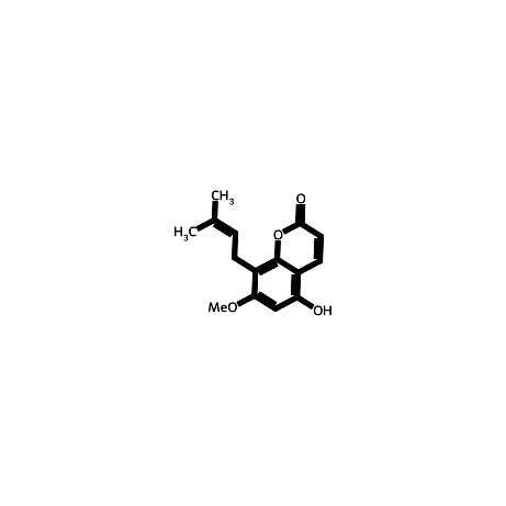 COc1cc(O)c2ccc(=O)oc2c1CC=C(C)C